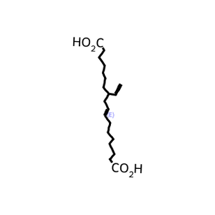 C=CC(C/C=C/CCCCCCC(=O)O)CCCCCCC(=O)O